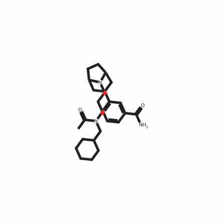 CC(=O)N(CCCN1C2CCC1CC(c1cccc(C(N)=O)c1)C2)CC1CCCCC1